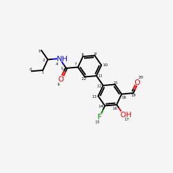 CCC(C)NC(=O)c1cccc(-c2cc(F)c(O)c(C=O)c2)c1